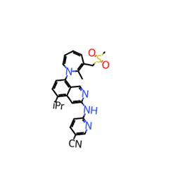 CC1=C(CS(C)(=O)=O)C=CC=CN1c1ccc(C(C)C)c2cc(Nc3ccc(C#N)cn3)ncc12